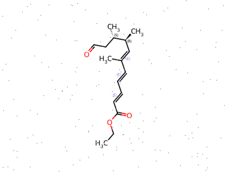 CCOC(=O)/C=C/C=C/C(C)=C/[C@H](C)[C@@H](C)CC=O